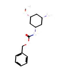 CO[C@H]1C[C@@H](N)C[C@@H](NC(=O)OCc2ccccc2)C1